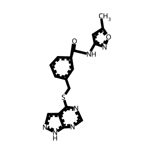 Cc1cc(NC(=O)c2cccc(CSc3ncnc4[nH]ncc34)c2)no1